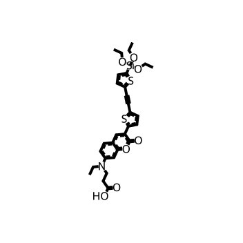 CCO[Si](OCC)(OCC)c1ccc(C#Cc2ccc(-c3cc4ccc(N(CC)CCC(=O)O)cc4oc3=O)s2)s1